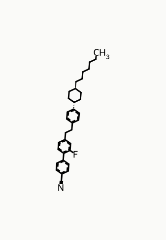 CCCCCCC[C@H]1CC[C@H](c2ccc(CCc3ccc(-c4ccc(C#N)cc4)c(F)c3)cc2)CC1